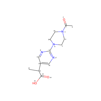 CC(=O)N1CCN(c2ncc(C(C)C(=O)O)cn2)CC1